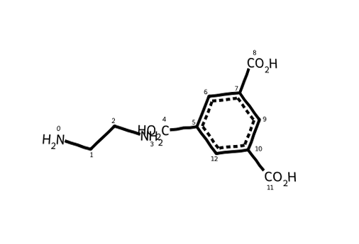 NCCN.O=C(O)c1cc(C(=O)O)cc(C(=O)O)c1